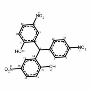 O=[N+]([O-])c1ccc(C(c2cc([N+](=O)[O-])ccc2O)c2cc([N+](=O)[O-])ccc2O)cc1